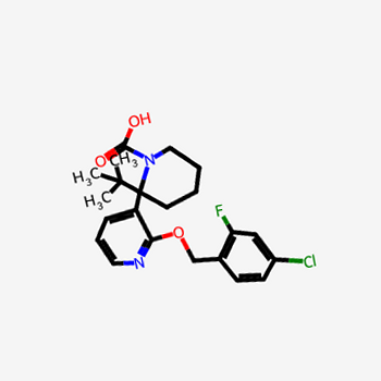 CC(C)(C)C1(c2cccnc2OCc2ccc(Cl)cc2F)CCCCN1C(=O)O